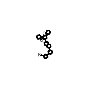 N#CC1=CC(C2=CCCC(C3=CC4=C(C=C(C5=c6oc7c(c6=C6OC8=C(C=CCC8)C6C5)CCC=C7)CC4)CC3)=C2)=CCC1